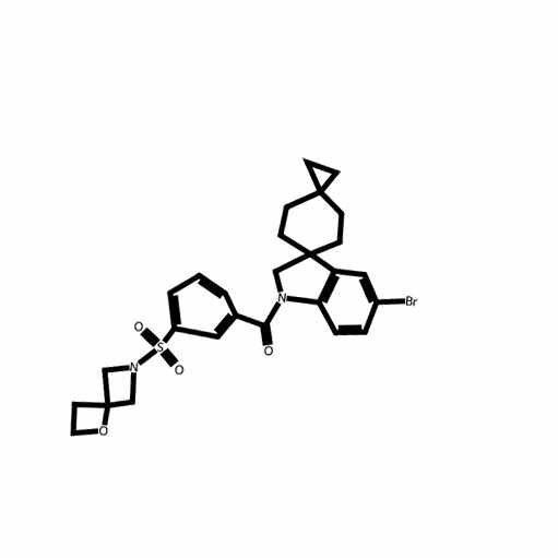 O=C(c1cccc(S(=O)(=O)N2CC3(CCO3)C2)c1)N1CC2(CCC3(CC3)CC2)c2cc(Br)ccc21